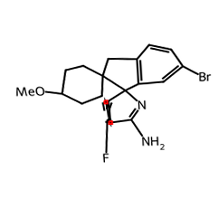 COC1CCC2(CC1)Cc1ccc(Br)cc1C21N=C(N)c2c(F)cccc21